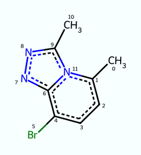 Cc1ccc(Br)c2nnc(C)n12